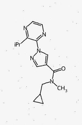 CC(C)c1nccnc1-n1cc(C(=O)N(C)CC2CC2)cn1